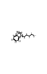 [CH2]CCCCn1cnc2ccccc21